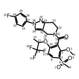 COc1c(S(C)(=O)=O)ccc(OC(C)C(F)(F)F)c1C(=O)N1CCc2nn(-c3ccc(F)cc3)cc2C1